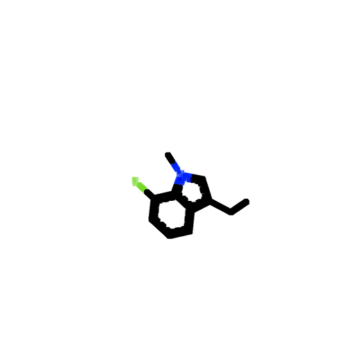 CCc1cn(C)c2c(F)cccc12